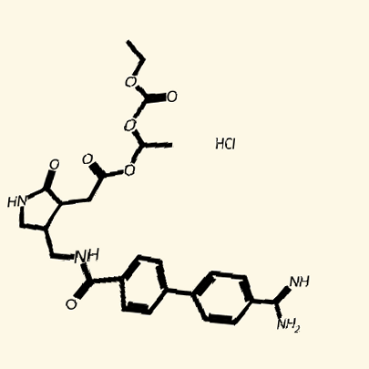 CCOC(=O)OC(C)OC(=O)CC1C(=O)NCC1CNC(=O)c1ccc(-c2ccc(C(=N)N)cc2)cc1.Cl